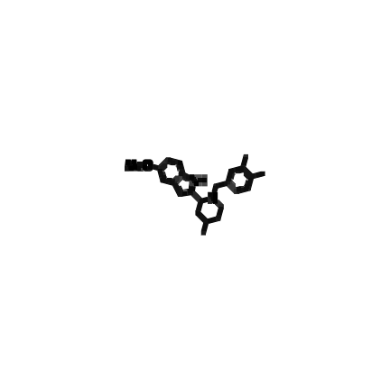 COc1ccc2[nH]c(C3CC(C)CCN3Cc3ccc(C)c(C)c3)cc2c1